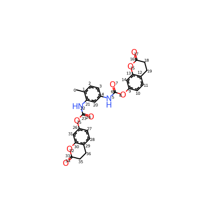 Cc1ccc(NC(=O)Oc2ccc3c(c2)OC(=O)CC3)cc1NC(=O)Oc1ccc2c(c1)OC(=O)CC2